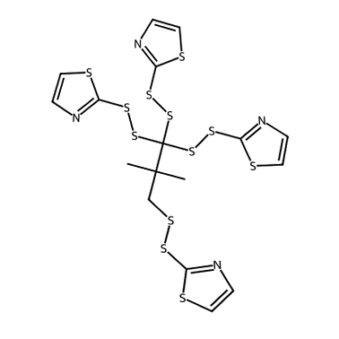 CC(C)(CSSc1nccs1)C(SSc1nccs1)(SSc1nccs1)SSc1nccs1